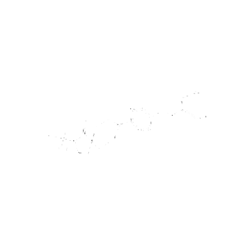 CC(C)(C)N1CCC2(CCN(c3ncc(OC/C(=C/F)CN)cn3)CC2)C1=O